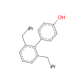 CC(C)Cc1cccc(CC(C)C)c1-c1ccc(O)cc1